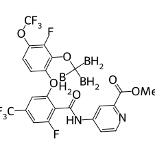 BC(B)(B)Oc1c(Oc2cc(C(F)(F)F)cc(F)c2C(=O)Nc2ccnc(C(=O)OC)c2)ccc(OC(F)(F)F)c1F